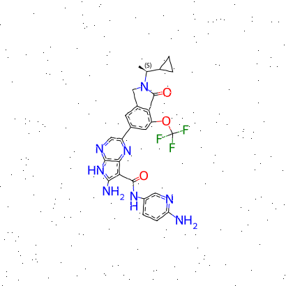 C[C@@H](C1CC1)N1Cc2cc(-c3cnc4[nH]c(N)c(C(=O)Nc5ccc(N)nc5)c4n3)cc(OC(F)(F)F)c2C1=O